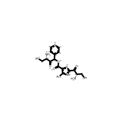 CC(=O)c1[nH]c(C(=O)[C@@H](N)CC(C)C)nc1C(=O)OC(C(=O)[C@@H](N)CC(C)C)c1ccncc1